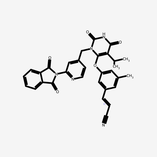 Cc1cc(/C=C/C#N)cc(Oc2c(C(C)C)c(=O)[nH]c(=O)n2Cc2ccnc(N3C(=O)c4ccccc4C3=O)c2)c1